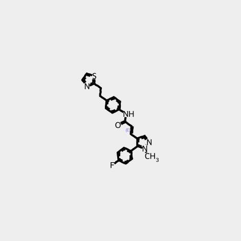 Cn1ncc(/C=C/C(=O)Nc2ccc(CCc3nccs3)cc2)c1-c1ccc(F)cc1